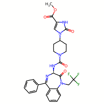 COC(=O)c1cn(C2CCN(C(=O)N[C@@H]3N=C(c4ccccc4)c4ccccc4N(CC(F)(F)F)C3=O)CC2)c(=O)[nH]1